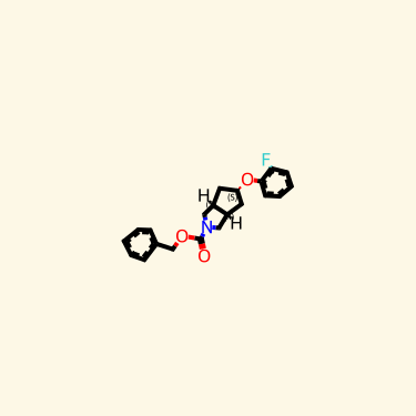 O=C(OCc1ccccc1)N1C[C@H]2C[C@H](Oc3ccccc3F)C[C@H]2C1